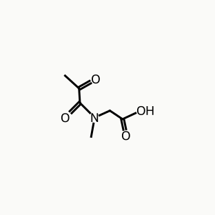 CC(=O)C(=O)N(C)CC(=O)O